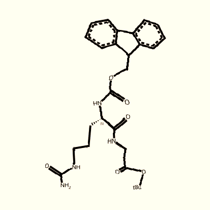 CC(C)(C)OC(=O)CNC(=O)[C@H](CCCNC(N)=O)NC(=O)OCC1c2ccccc2-c2ccccc21